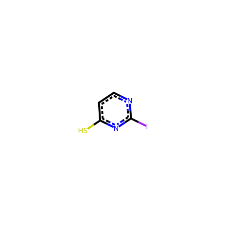 Sc1ccnc(I)n1